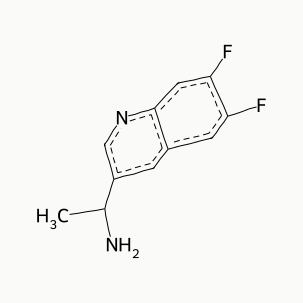 CC(N)c1cnc2cc(F)c(F)cc2c1